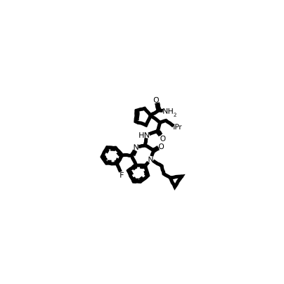 CC(C)CC(C(=O)NC1N=C(c2ccccc2F)c2ccccc2N(CCC2CC2)C1=O)C1(C(N)=O)CC=CC1